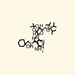 CC(C)[Si](OC[C@H]1O[C@@H](n2nc(SCC3(O)CCCCC3)c3c(N)ncnc32)[C@@H]2OC(C)(C)O[C@@H]21)(C(C)C)C(C)C